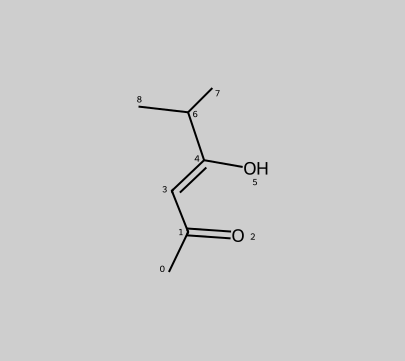 CC(=O)/C=C(\O)C(C)C